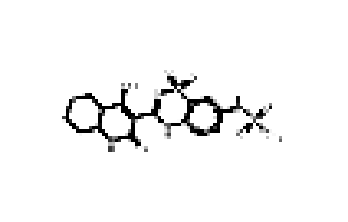 CS(=O)(=O)Nc1ccc2c(c1)S(=O)(=O)N=C(C1=C(O)C3CCCCC3NC1=O)N2